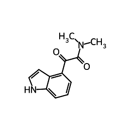 CN(C)C(=O)C(=O)c1cccc2[nH]ccc12